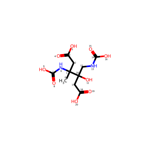 CC(CC(=O)O)(NC(=O)O)C(O)(CNC(=O)O)CC(=O)O